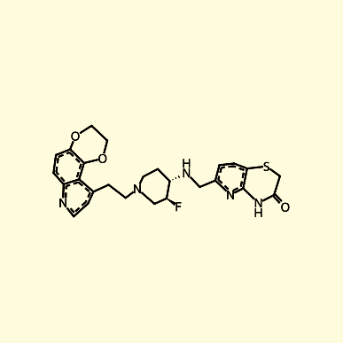 O=C1CSc2ccc(CN[C@H]3CCN(CCc4ccnc5ccc6c(c45)OCCO6)C[C@@H]3F)nc2N1